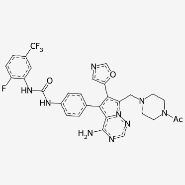 CC(=O)N1CCN(Cc2c(-c3cnco3)c(-c3ccc(NC(=O)Nc4cc(C(F)(F)F)ccc4F)cc3)c3c(N)ncnn23)CC1